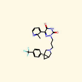 Cc1ncccc1-c1nn(CCCN2CC3C[C@]3(c3ccc(C(F)(F)F)cc3)C2)c(=O)[nH]c1=O